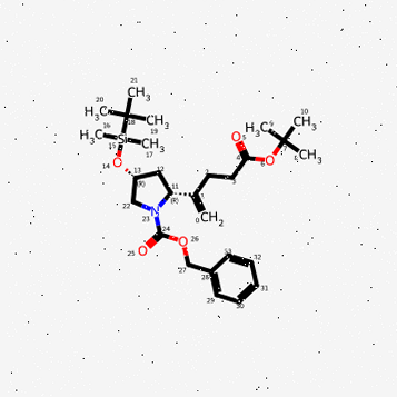 C=C(CCC(=O)OC(C)(C)C)[C@H]1C[C@@H](O[Si](C)(C)C(C)(C)C)CN1C(=O)OCc1ccccc1